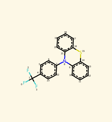 FC(F)(F)c1ccc(N2c3ccccc3Sc3ccccc32)cc1